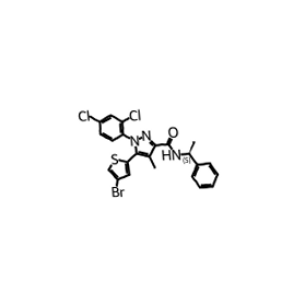 Cc1c(C(=O)N[C@@H](C)c2ccccc2)nn(-c2ccc(Cl)cc2Cl)c1-c1cc(Br)cs1